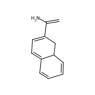 C=C(N)C1=CC=C2C=CC=CC2C1